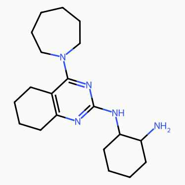 NC1CCCCC1Nc1nc2c(c(N3CCCCCC3)n1)CCCC2